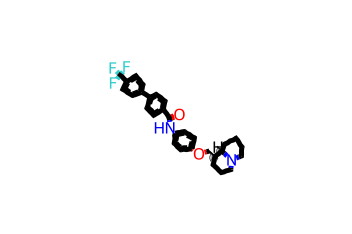 O=C(Nc1ccc(OC[C@@H]2CCCN3CCCC[C@H]23)cc1)c1ccc(-c2ccc(C(F)(F)F)cc2)cc1